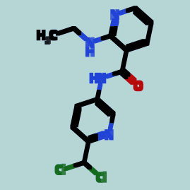 CCNc1ncccc1C(=O)Nc1ccc(C(Cl)Cl)nc1